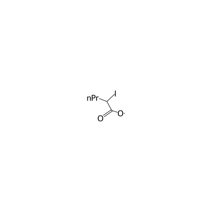 CCCC(I)C([O])=O